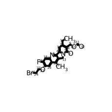 CCc1cc2n(c(=O)c1COC=O)Cc1c-2nc2cc(F)c(OCCBr)cc2c1C